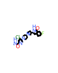 CNC(=O)c1cc(Cl)c(N2CCC(N3CCC(c4cc5ccc(F)cc5c(=O)[nH]4)C3)CC2)cn1